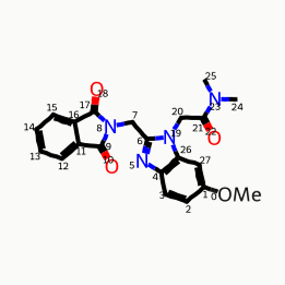 COc1ccc2nc(CN3C(=O)c4ccccc4C3=O)n(CC(=O)N(C)C)c2c1